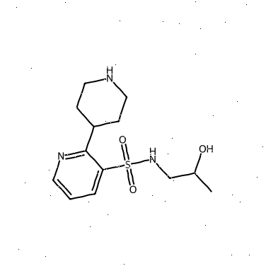 CC(O)CNS(=O)(=O)c1cccnc1C1CCNCC1